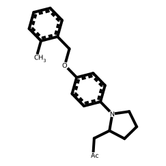 CC(=O)CC1CCCN1c1ccc(OCc2ccccc2C)cc1